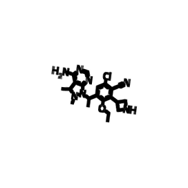 CCOc1c(C(C)N2c3ncnc(N)c3C(C)N2C)cc(Cl)c(C#N)c1C1CNC1